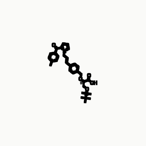 Cc1ccc(C(=O)c2cccn2CC=Cc2ccc(CO[C@H](CO[Si](C)(C)C(C)(C)C)C(=O)O)cc2)cc1